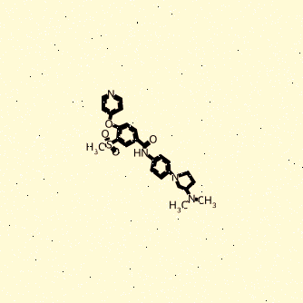 CN(C)C1CCN(c2ccc(NC(=O)c3ccc(Oc4ccncc4)c(S(C)(=O)=O)c3)cc2)C1